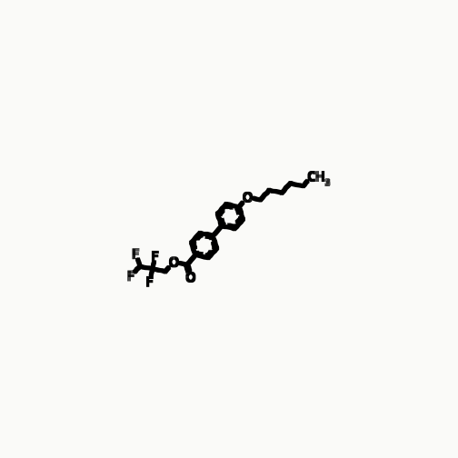 CCCCCCOc1ccc(-c2ccc(C(=O)OCC(F)(F)C(F)F)cc2)cc1